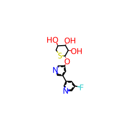 O[C@@H]1[C@@H](O)[C@H](Oc2cncc(-c3cncc(F)c3)c2)SC[C@H]1O